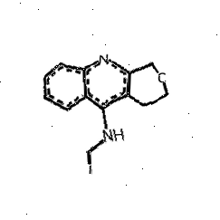 ICNc1c2c(nc3ccccc13)CCCC2